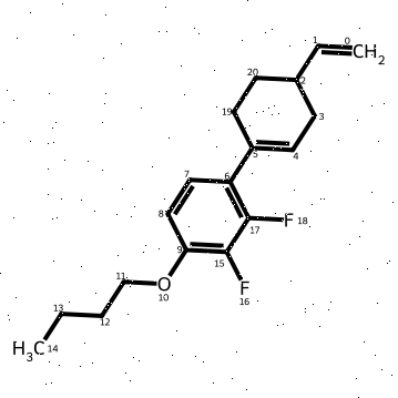 C=CC1CC=C(c2ccc(OCCCC)c(F)c2F)CC1